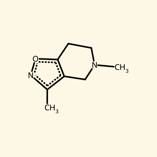 Cc1noc2c1CN(C)CC2